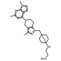 COCCNC12CCC(Cn3nc(C)c4c3CCN(c3cc(C)nc5c3cnn5C)C4)(CC1)CC2